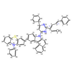 C=C/C(=C\C=C\c1ccccc1)c1nc(-c2ccccc2)cc(-n2c3ccc(-c4ccc5c(c4)Sc4ccccc4N5c4ccccc4)cc3c3c4ccccc4ccc32)n1